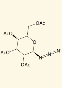 CC(=O)OCC1O[C@@H](N=[N+]=[N-])C(OC(C)=O)C(OC(C)=O)[C@H]1OC(C)=O